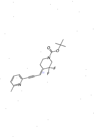 Cc1cccc(C#C/C=C2\CCN(C(=O)OC(C)(C)C)CC2(F)F)n1